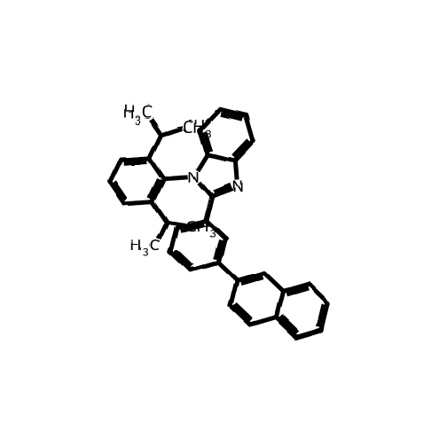 CC(C)c1cccc(C(C)C)c1-n1c(-c2cccc(-c3ccc4ccccc4c3)c2)nc2ccccc21